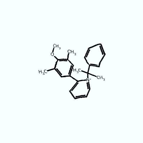 COc1c(C)cc(-c2cccc[n+]2C(C)(C)c2ccccc2)cc1C